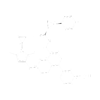 Cc1cc(CN2CCc3c(-c4cccc(C(=O)O)c4)ccc(CNC(=O)[C@H]4C[C@H]4c4ccccc4)c3C2)c(C)n1C1CC1